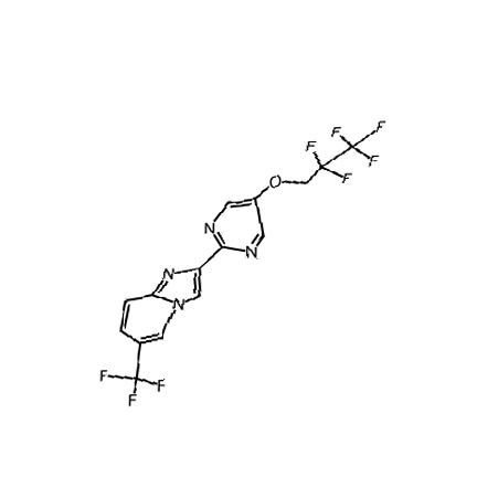 FC(F)(F)c1ccc2nc(-c3ncc(OCC(F)(F)C(F)(F)F)cn3)cn2c1